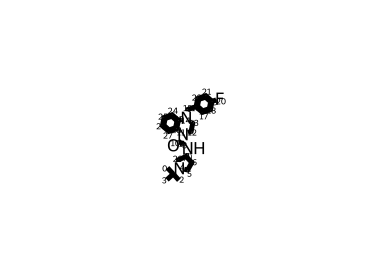 CC(C)(C)N1CC[C@@H](NC(=O)N2CCN(Cc3ccc(F)cc3)c3ccccc32)C1